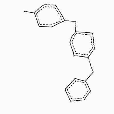 Cc1ccc(Cc2ccc(Cc3ccccc3)cc2)cc1